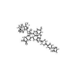 O=C(Cn1nc(C(F)(F)F)c2c1C(F)(F)[C@@H]1CC[C@H]21)N[C@@H](Cc1cc(F)cc(F)c1)c1nc2nc(N3CCN(c4ccc(-c5ncc[nH]5)cc4)CC3)sc2cc1-c1ccc2c(c1)C(=O)NC2